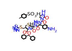 Cc1ccc(S(=O)(=O)O)cc1.Cn1nnnc1SCC1=C(C(=O)OC(c2ccccc2)c2ccccc2)N2C(=O)[C@@H](NC(=O)[C@H](NC(=O)N3CCNC3=O)c3ccc(N)cc3)[C@@H]2SC1